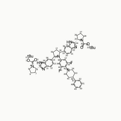 CC(C)(C)OC(=O)N1CCC[C@H]1c1nc2ccc(C3CCC(c4ccc5nc([C@@H]6CCCN6C(=O)OC(C)(C)C)[nH]c5c4)N3c3cc(F)c(N4CCC(c5ccccc5)CC4)c(F)c3)cc2[nH]1